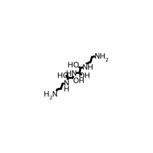 NCCCNC(O)C(O)NC(O)C(O)NCCCN